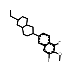 CCC1CCC2CC(c3ccc4c(F)c(OC)c(F)cc4c3)CCC2C1